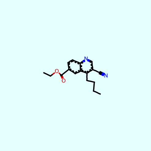 CCCCc1c(C#N)cnc2ccc(C(=O)OCC)cc12